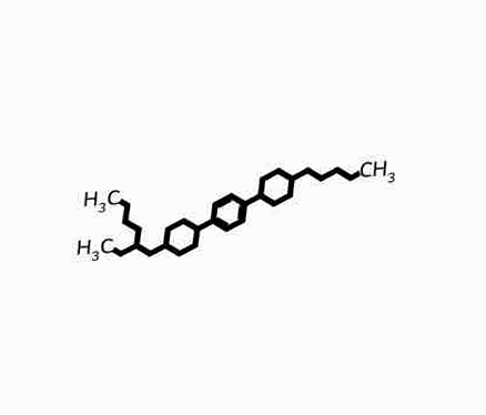 CCCCCC1CCC(c2ccc(C3CCC(CC(CC)CCCC)CC3)cc2)CC1